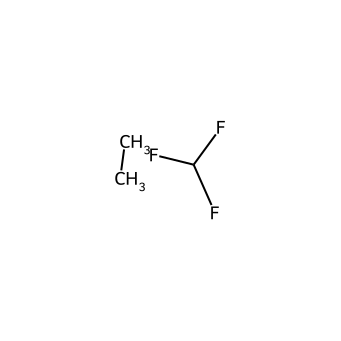 CC.FC(F)F